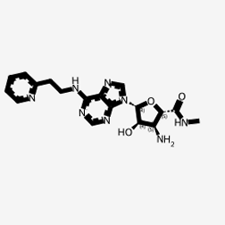 CNC(=O)[C@H]1O[C@@H](n2cnc3c(NCCc4ccccn4)ncnc32)[C@H](O)[C@@H]1N